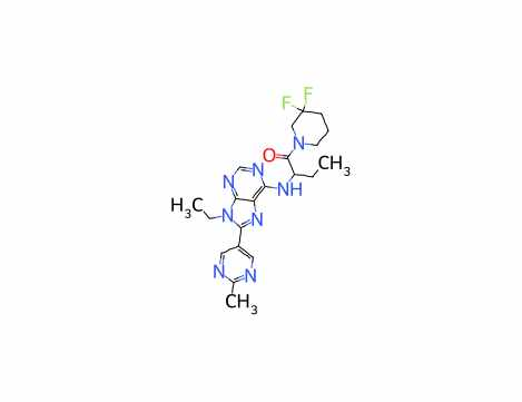 CCC(Nc1ncnc2c1nc(-c1cnc(C)nc1)n2CC)C(=O)N1CCCC(F)(F)C1